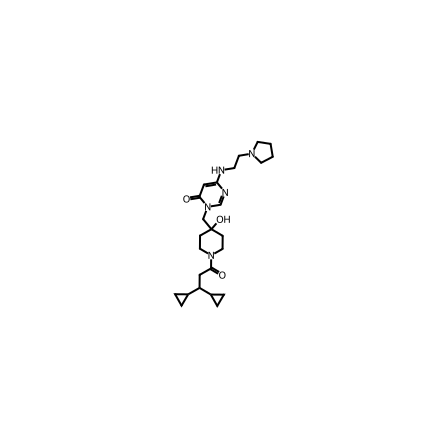 O=C(CC(C1CC1)C1CC1)N1CCC(O)(Cn2cnc(NCCN3CCCC3)cc2=O)CC1